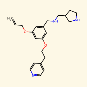 C=CCOc1cc(CNCC2CCNC2)cc(OCCc2ccncc2)c1